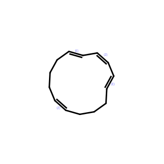 C1=C\C=C\CCC/C=C\CCC/C=C/1